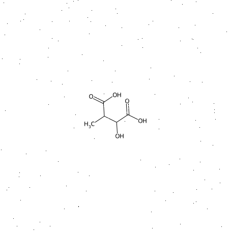 CC(C(=O)O)C(O)C(=O)O